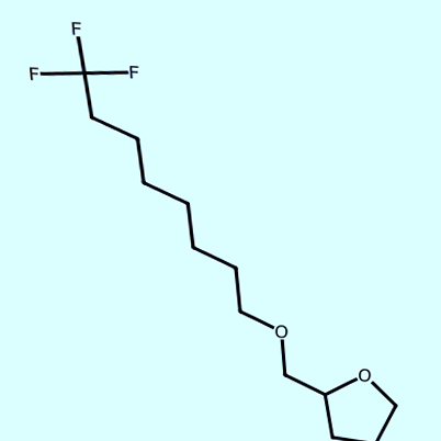 FC(F)(F)CCCCCCCOCC1CCCO1